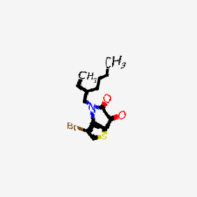 CCCCC(CC)CN1C(=O)C(=O)c2scc(Br)c21